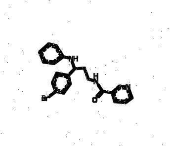 O=C(NCCC(Nc1ccccc1)c1ccc(Br)cc1)c1cccnc1